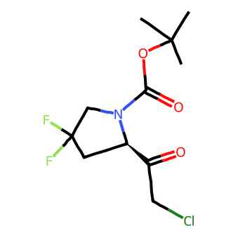 CC(C)(C)OC(=O)N1CC(F)(F)C[C@@H]1C(=O)CCl